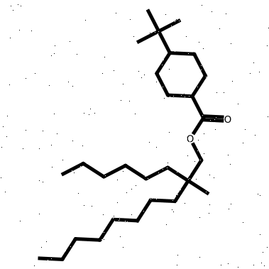 CCCCCCCCC(C)(CCCCCC)COC(=O)C1CCC(C(C)(C)C)CC1